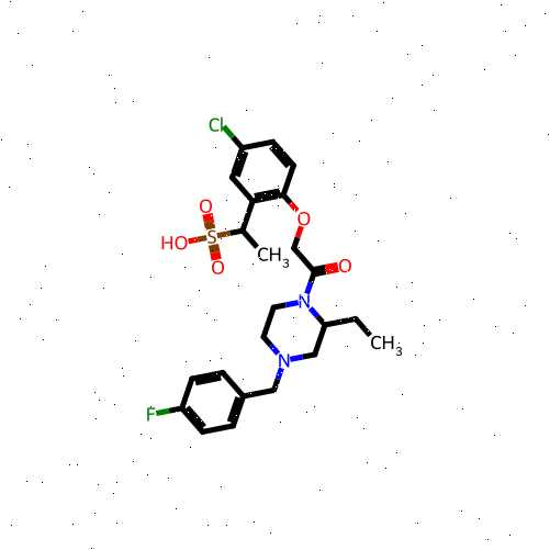 CCC1CN(Cc2ccc(F)cc2)CCN1C(=O)COc1ccc(Cl)cc1C(C)S(=O)(=O)O